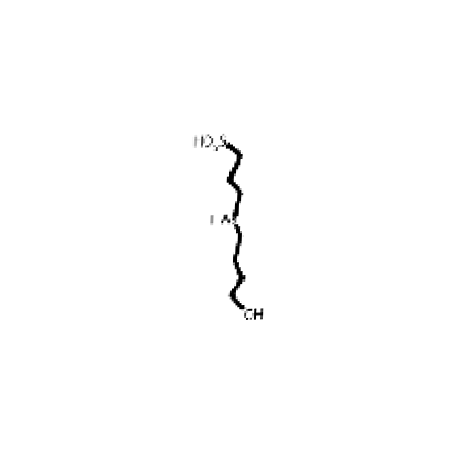 O=S(=O)(O)CCC[AsH]CCCCO